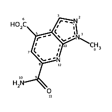 Cn1ncc2c(C(=O)O)cc(C(N)=O)nc21